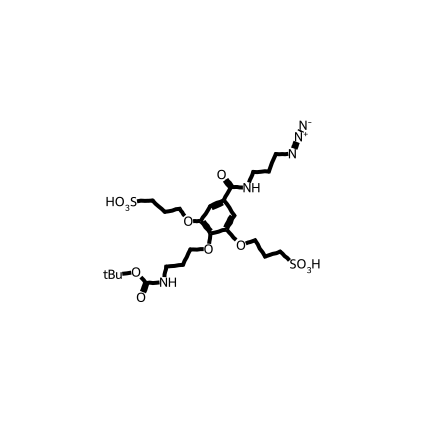 CC(C)(C)OC(=O)NCCCOc1c(OCCCS(=O)(=O)O)cc(C(=O)NCCCN=[N+]=[N-])cc1OCCCS(=O)(=O)O